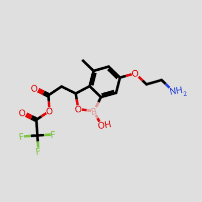 Cc1cc(OCCN)cc2c1C(CC(=O)OC(=O)C(F)(F)F)OB2O